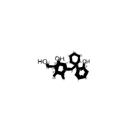 Cc1c(CC2(c3ccccc3O)CCCCC2)cc(O)c(CO)c1C